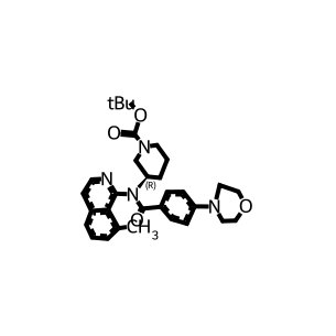 Cc1cccc2ccnc(N(C(=O)c3ccc(N4CCOCC4)cc3)[C@@H]3CCCN(C(=O)OC(C)(C)C)C3)c12